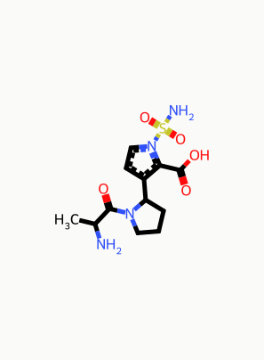 CC(N)C(=O)N1CCCC1c1ccn(S(N)(=O)=O)c1C(=O)O